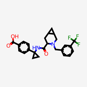 O=C(O)c1ccc(C2(NC(=O)C3CC4CC4CN3Cc3cccc(C(F)(F)F)c3)CC2)cc1